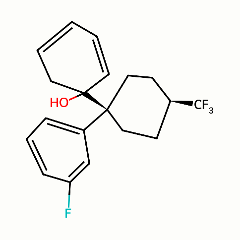 OC1([C@]2(c3cccc(F)c3)CC[C@H](C(F)(F)F)CC2)C=CC=CC1